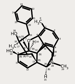 Cc1ccc2c3c1O[C@H]1[C@@]4(O)C=C[C@@]5(C[C@@H]4[C@@](C)(O)Cc4ccccc4)[C@@H](C2)N(C)CC[C@]315